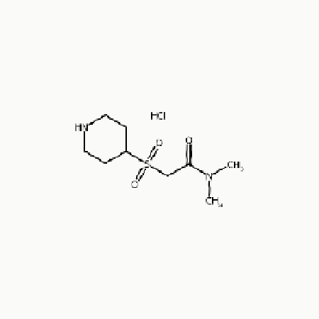 CN(C)C(=O)CS(=O)(=O)C1CCNCC1.Cl